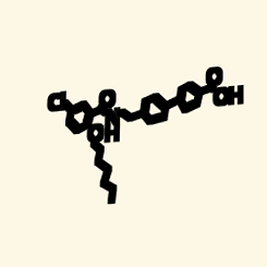 CCCCCCCOc1ccc(Cl)cc1C(=O)NCCc1ccc(-c2ccc(C(=O)O)cc2)cc1